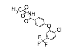 CS(=O)(=O)NC(=O)c1ccc(Oc2cc(C(F)(F)F)ccc2Cl)cc1